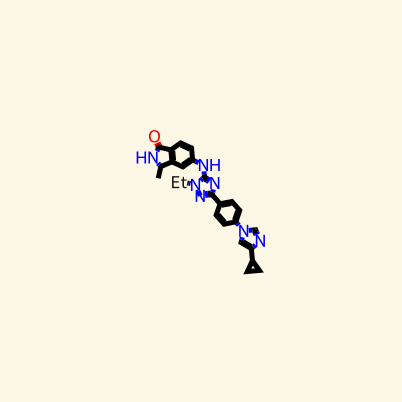 CCn1nc(-c2ccc(-n3cnc(C4CC4)c3)cc2)nc1Nc1ccc2c(c1)C(C)NC2=O